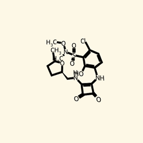 CON(C)S(=O)(=O)c1c(Cl)ccc(Nc2c(NC[C@H]3CCC(C)O3)c(=O)c2=O)c1O